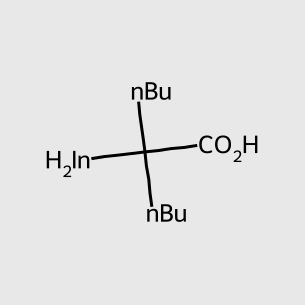 CCCC[C]([InH2])(CCCC)C(=O)O